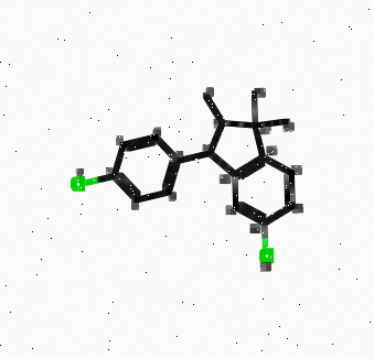 CC1C(c2ccc(Cl)cc2)c2cc(Cl)ccc2C1(C)C